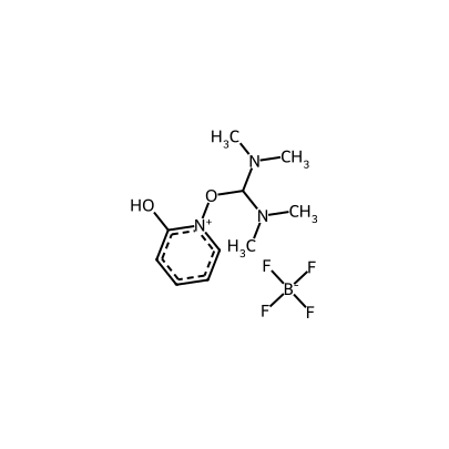 CN(C)C(O[n+]1ccccc1O)N(C)C.F[B-](F)(F)F